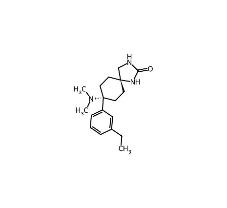 CCc1cccc([C@]2(N(C)C)CC[C@@]3(CC2)CNC(=O)N3)c1